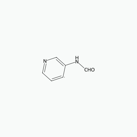 O=CNc1[c]ccnc1